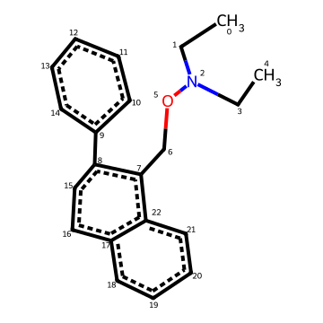 CCN(CC)OCc1c(-c2ccccc2)ccc2ccccc12